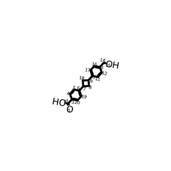 O=C(O)c1ccc(C2CC(c3ccc(CO)cc3)C2)cc1